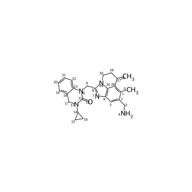 Cc1c(CN)cc2nc(CN3C(=O)N(C4CC4)Cc4ccccc43)n3c2c1C(C)CC3